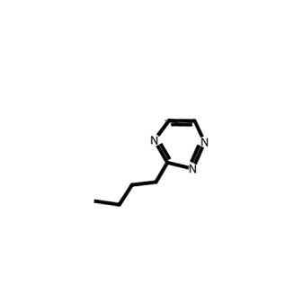 CCCCc1n[c]cnn1